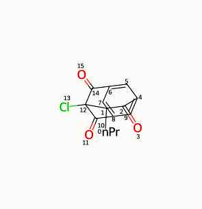 CCCC1C(=O)c2cc3cc(c2)C(=O)C1(Cl)C3=O